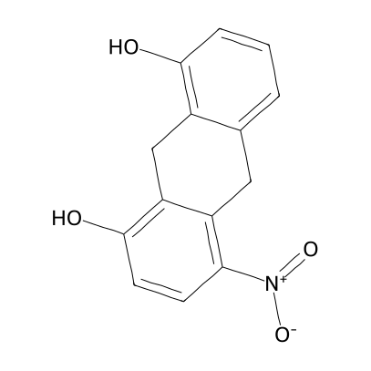 O=[N+]([O-])c1ccc(O)c2c1Cc1cccc(O)c1C2